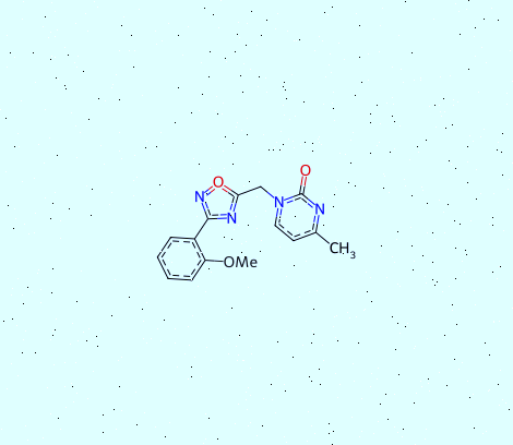 COc1ccccc1-c1noc(Cn2ccc(C)nc2=O)n1